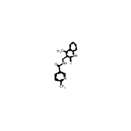 Cc1c(CNC(=O)c2ccc(C(F)(F)F)nc2)c(=O)[nH]c2ccccc12